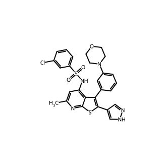 Cc1cc(NS(=O)(=O)c2cccc(Cl)c2)c2c(-c3cccc(N4CCOCC4)c3)c(-c3cn[nH]c3)sc2n1